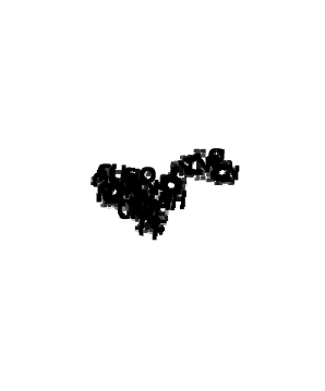 C=CC(=O)Nc1cc(CN2CCN(C(=O)c3cccnc3)CC2)ccc1Nc1nc(Nc2nc(OC)ncc2C)ncc1C(F)(F)F